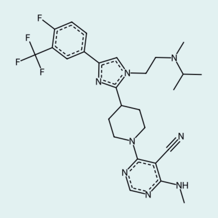 CNc1ncnc(N2CCC(c3nc(-c4ccc(F)c(C(F)(F)F)c4)cn3CCN(C)C(C)C)CC2)c1C#N